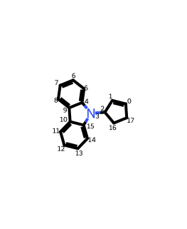 C1=CC(n2c3ccccc3c3ccccc32)CC1